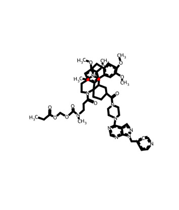 CCC(=O)OCOC(=O)N(C)CCC(=O)N1CCc2cc(OC)c(OC)cc2C12CCC(C(=O)N1CCN(c3ncnc4c3cnn4Cc3ccncc3)CC1)CC2C1c2cc(OC)c(OC)cc2CCN1CC